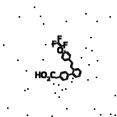 O=C(O)Cc1ccc(-c2ccccc2C=Cc2ccc(OC(F)=C(F)F)cc2)cc1